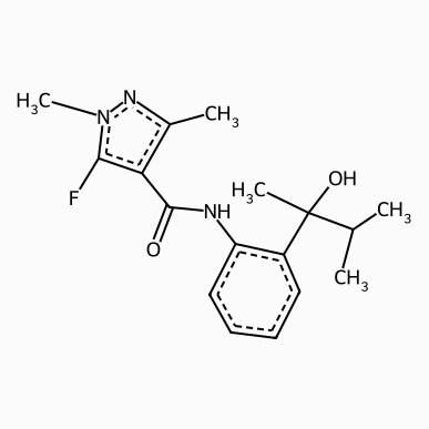 Cc1nn(C)c(F)c1C(=O)Nc1ccccc1C(C)(O)C(C)C